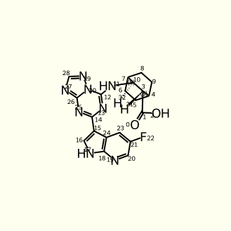 O=C(O)[C@H]1C2CCC(CC2)[C@@H]1Nc1nc(-c2c[nH]c3ncc(F)cc23)nc2ncnn12